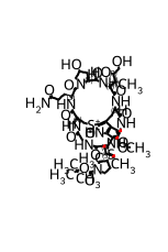 CC[C@H](C)[C@@H]1NC(=O)CNC(=O)[C@@H]2Cc3c([nH]c4c(CSC5CCN(C(=O)OC(C)(C)C)C5)c(OC)ccc34)[S+]([O-])C[C@H](NC(=O)CNC1=O)C(=O)N[C@@H](CCC(N)=O)C(=O)N1CC(O)C[C@H]1C(=O)N[C@@H]([C@@H](C)[C@@H](O)CO)C(=O)N2